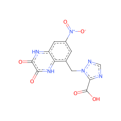 O=C(O)c1ncnn1Cc1cc([N+](=O)[O-])cc2[nH]c(=O)c(=O)[nH]c12